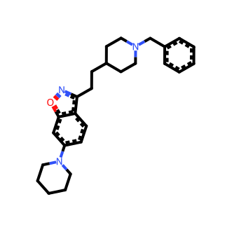 c1ccc(CN2CCC(CCc3noc4cc(N5CCCCC5)ccc34)CC2)cc1